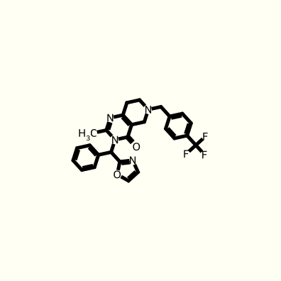 Cc1nc2c(c(=O)n1C(c1ccccc1)c1ncco1)CN(Cc1ccc(C(F)(F)F)cc1)CC2